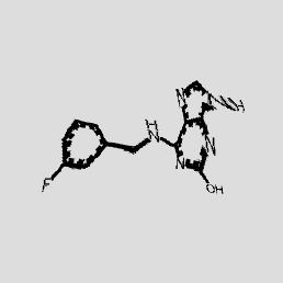 Oc1nc(NCc2cccc(F)c2)c2nc[nH]c2n1